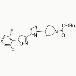 CC(C)(C)OC(=O)N1CCC(c2nc(C3=NOC(c4c(F)cccc4F)C3)cs2)CC1